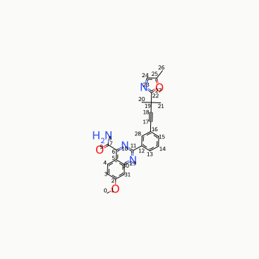 COc1ccc2c(C(N)=O)nc(-c3cccc(C#CC(C)(C)c4ncc(C)o4)c3)nc2c1